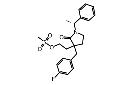 C[C@H](c1ccccc1)N1CCC(CCOS(C)(=O)=O)(Cc2ccc(F)cc2)C1=O